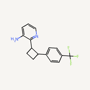 Nc1cccnc1C1CC[C]1c1ccc(C(F)(F)F)cc1